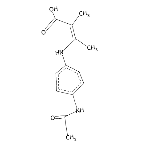 CC(=O)Nc1ccc(N/C(C)=C(/C)C(=O)O)cc1